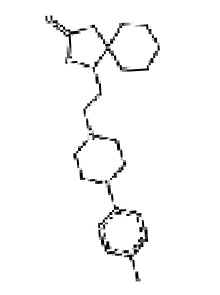 Cc1ccc(N2CCN(CCC3OC(=O)CC34CCCCC4)CC2)cc1